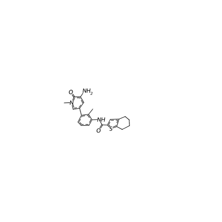 Cc1c(NC(=O)c2cc3c(s2)CCCC3)cccc1-c1cc(N)c(=O)n(C)c1